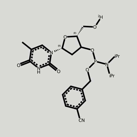 [2H]OC[C@H]1O[C@@H](n2cc(C)c(=O)[nH]c2=O)CC1OP(OCc1cccc(C#N)c1)N(C(C)C)C(C)C